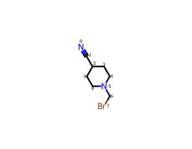 N#CC1CCN(CBr)CC1